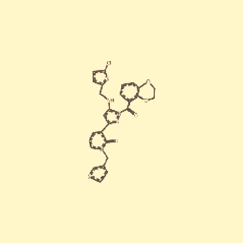 O=C(c1cccc2c1OCCO2)n1nc(-c2cccn(Cc3ccsc3)c2=O)cc1NCc1ccc(Cl)s1